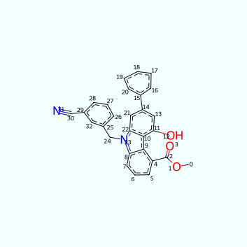 COC(=O)c1cccc2c1c1c(O)cc(-c3ccccc3)cc1n2Cc1cccc(C#N)c1